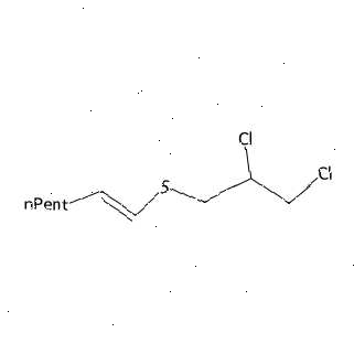 CCCCCC=CSCC(Cl)CCl